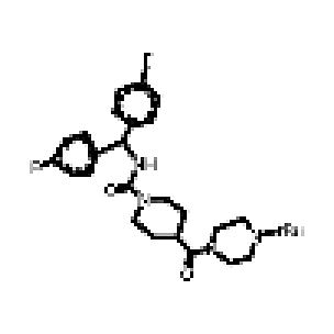 CC(C)(C)N1CCN(C(=O)C2CCN(C(=O)NC(c3ccc(F)cc3)c3ccc(F)cc3)CC2)CC1